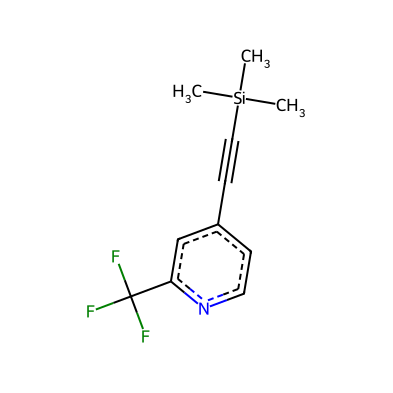 C[Si](C)(C)C#Cc1ccnc(C(F)(F)F)c1